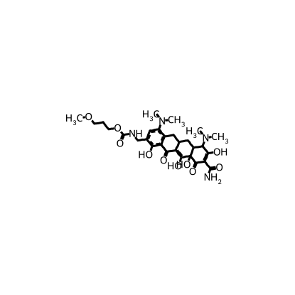 COCCCOC(=O)NCc1cc(N(C)C)c2c(c1O)C(=O)C1=C(O)C3(O)C(=O)C(C(N)=O)=C(O)C(N(C)C)C3CC1C2